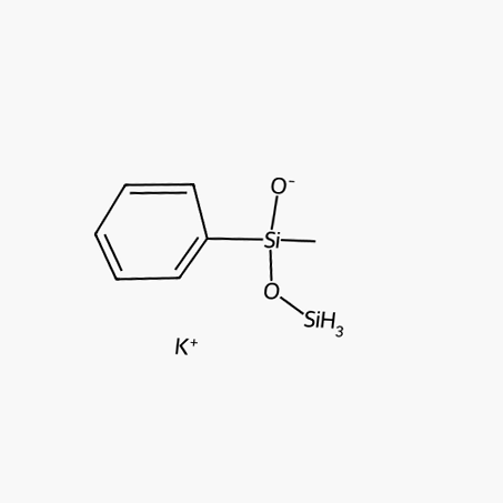 C[Si]([O-])(O[SiH3])c1ccccc1.[K+]